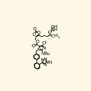 CCCCc1nc(Cl)c(C(=O)OCc2oc(=O)oc2CCC[C@H](C)ONO)n1Cc1ccc(-c2ccccc2-c2nn[nH]n2)cc1